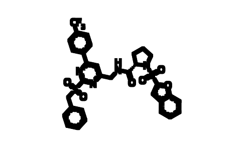 O=C(NCc1cc(-c2ccc(C(F)(F)F)cc2)nc(S(=O)(=O)Cc2ccccc2)n1)[C@@H]1CCCN1S(=O)(=O)c1cc2ccccc2o1